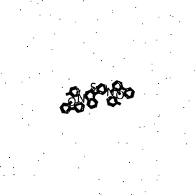 Cc1cccc(N(c2ccc3sc4cc(N(c5cccc(C)c5)c5cccc6c5oc5ccccc56)c5ccccc5c4c3c2)c2cccc3c2oc2ccccc23)c1